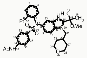 CCc1ccccc1N(c1ccc2c(c1)nc(C(C)(C)OC)n2CC1CCOCC1)S(=O)(=O)c1ccc(NC(C)=O)cc1